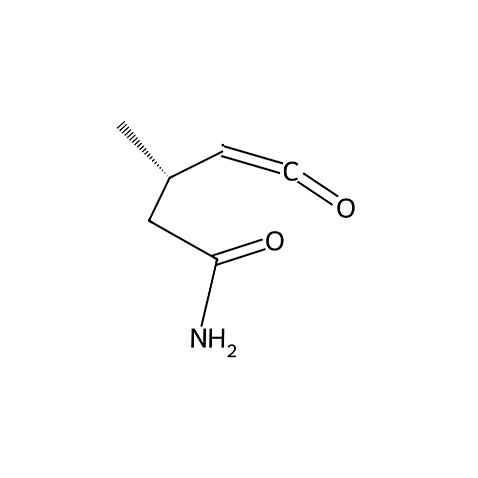 C[C@H]([C]=C=O)CC(N)=O